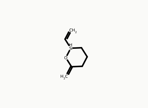 C=C[SiH]1CCCC(=C)O1